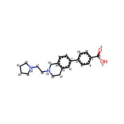 O=C(O)c1ccc(-c2ccc3c(c2)CCN(CCN2CCCC2)C3)cc1